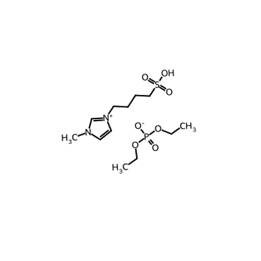 CCOP(=O)([O-])OCC.Cn1cc[n+](CCCCS(=O)(=O)O)c1